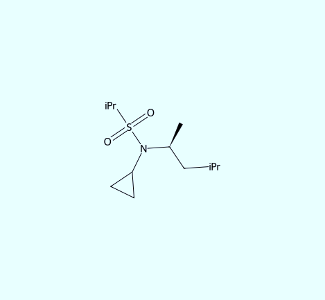 CC(C)C[C@H](C)N(C1CC1)S(=O)(=O)C(C)C